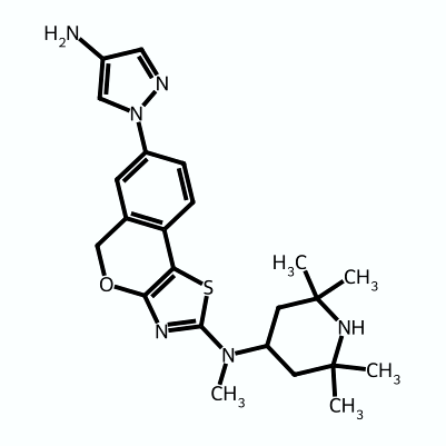 CN(c1nc2c(s1)-c1ccc(-n3cc(N)cn3)cc1CO2)C1CC(C)(C)NC(C)(C)C1